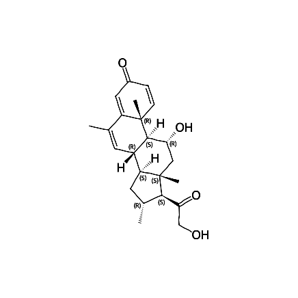 CC1=C[C@@H]2[C@H]([C@H](O)C[C@@]3(C)[C@H]2C[C@@H](C)[C@@H]3C(=O)CO)[C@@]2(C)C=CC(=O)C=C12